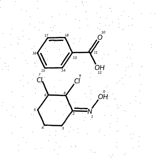 O/N=C1/CCCC(Cl)C1Cl.O=C(O)c1ccccc1